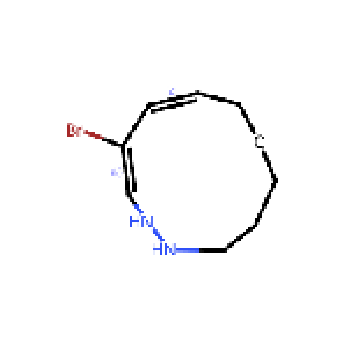 BrC1=C/NNCCCCC/C=C\1